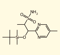 Cc1cnc(C(O[Si](C)(C)C(C)(C)C)C(C)S(N)(=O)=O)nc1